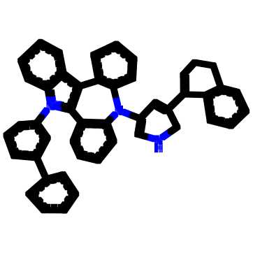 C1=C(C2=CCCc3ccccc32)CNC=C1N1c2ccccc2-c2c(n(-c3cccc(-c4ccccc4)c3)c3ccccc23)-c2ccccc21